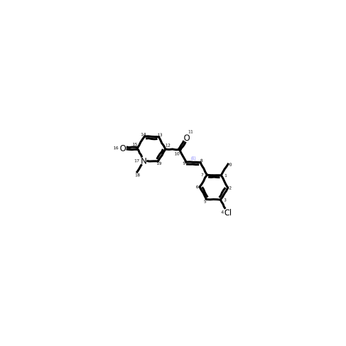 Cc1cc(Cl)ccc1/C=C/C(=O)c1ccc(=O)n(C)c1